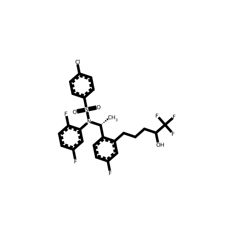 C[C@H](c1ccc(F)cc1CCCC(O)C(F)(F)F)N(c1cc(F)ccc1F)S(=O)(=O)c1ccc(Cl)cc1